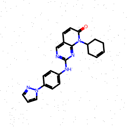 O=c1ccc2cnc(Nc3ccc(-n4cccn4)cc3)nc2n1C1CC=CCC1